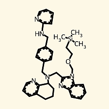 C[Si](C)(C)CCOCn1c(CN(Cc2ccc(CNc3ccccn3)cc2)C2CCCc3cccnc32)nc2ccccc21